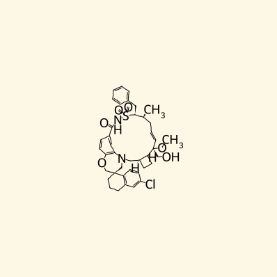 CO[C@@]1(CO)/C=C/C[C@H](C)[C@H](Cc2ccccc2)S(=O)(=O)NC(=O)c2ccc3c(c2)N(C[C@@H]2CC[C@H]21)C[C@@]1(CCCc2cc(Cl)ccc21)CO3